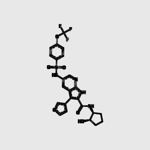 O=C(N[C@H]1CCC[C@H]1O)c1[nH]c2ncc(NS(=O)(=O)c3ccc(OC(F)(F)F)cc3)cc2c1-c1ccoc1